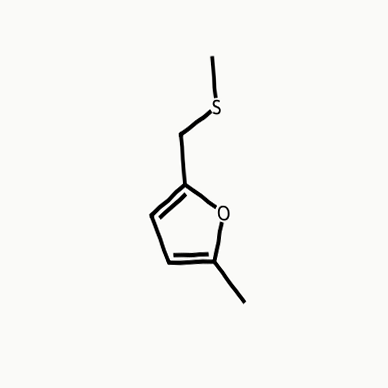 CSCc1ccc(C)o1